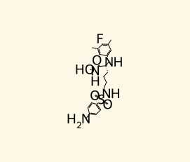 Cc1cc(N[C@H](CCCCNS(=O)(=O)c2ccc(N)cc2)C(=O)NO)cc(C)c1F